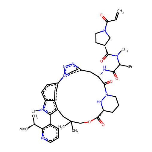 C=CC(=O)N1CC[C@H](C(=O)N(C)C(C(=O)N[C@H]2Cc3cn(nn3)-c3ccc4c(c3)c(c(-c3cccnc3[C@H](C)OC)n4CC)CC(C)(C)COC(=O)[C@@H]3CCCN(N3)C2=O)C(C)C)C1